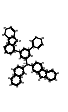 C1=CC(c2cc(-c3cccc4c5c(oc34)C=CCC5)cc(N(c3ccc4ccccc4c3)c3ccc4c(c3)sc3ccccc34)c2)=CCC1